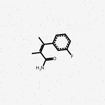 CC(C(N)=O)=C(C)c1cccc(F)c1